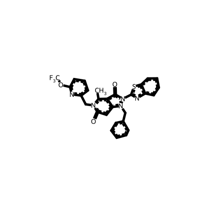 Cc1c2c(=O)n(-c3nc4ccccc4s3)n(Cc3ccccc3)c2cc(=O)n1Cc1cccc(OC(F)(F)F)n1